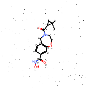 CC1(C)CC1C(=O)N1CCOc2cc(C(=O)NO)ccc2C1